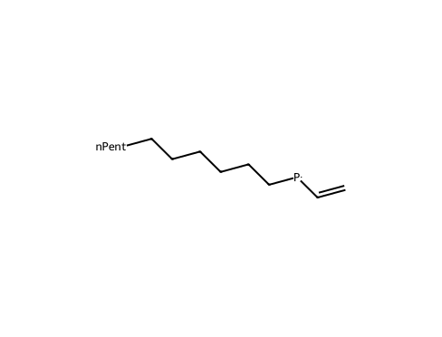 C=C[P]CCCCCCCCCCC